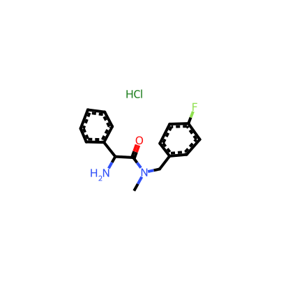 CN(Cc1ccc(F)cc1)C(=O)C(N)c1ccccc1.Cl